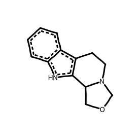 c1ccc2c3c([nH]c2c1)C1COCN1CC3